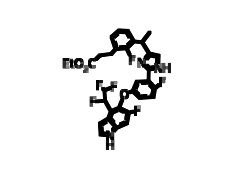 CCOC(=O)CCc1cccc(C(C)c2c[nH]c(-c3cc(Oc4c(F)cc5[nH]ccc5c4C(F)C(F)F)ccc3F)n2)c1F